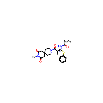 CNC(=O)N/C(Sc1ccccc1)=C(/C)C(=O)N1CCC2(CC1)CC(=O)N(C(C)C)C(=O)C2